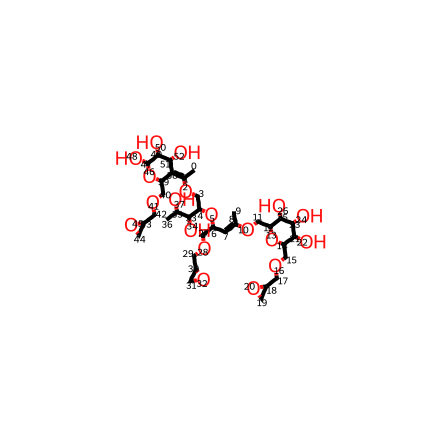 C/C(OCC(OC(/C=C(\C)OCC1OC(COCC2CO2)C(O)C(O)C1O)COCC1CO1)C(O)C(C)O)=C1/C(COCC2CO2)OC(O)C(O)C1O